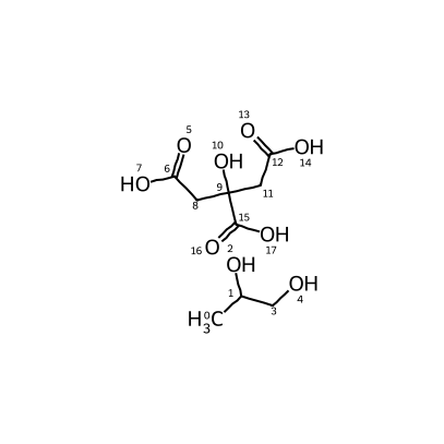 CC(O)CO.O=C(O)CC(O)(CC(=O)O)C(=O)O